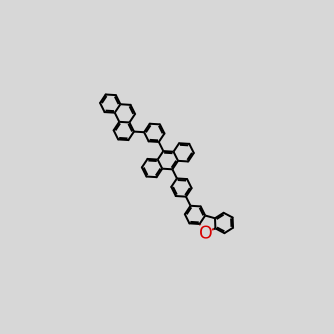 c1cc(-c2c3ccccc3c(-c3ccc(-c4ccc5oc6ccccc6c5c4)cc3)c3ccccc23)cc(-c2cccc3c2ccc2ccccc23)c1